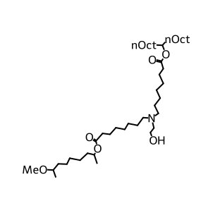 CCCCCCCCC(CCCCCCCC)OC(=O)CCCCCCCN(CCO)CCCCCCCC(=O)OC(C)CCCCCC(C)OC